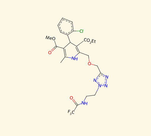 CCOC(=O)C1=C(COCc2nnn(CCNC(=O)C(F)(F)F)n2)NC(C)=C(C(=O)OC)C1c1ccccc1Cl